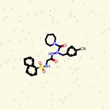 N#Cc1ccc(CN(NC(=O)CNS(=O)(=O)c2cccc3ccccc23)C(=O)N2CCCCCC2)cc1